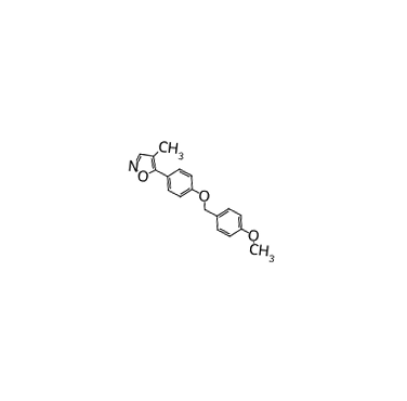 COc1ccc(COc2ccc(-c3oncc3C)cc2)cc1